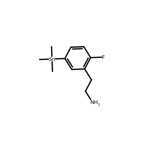 [CH3][Sn]([CH3])([CH3])[c]1ccc(F)c(CCN)c1